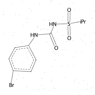 CC(C)S(=O)(=O)NC(=O)Nc1ccc(Br)cc1